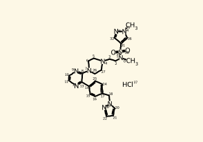 CN(CCN1CCN(c2nccnc2-c2ccc(Cn3cccn3)cc2)CC1)S(=O)(=O)c1cnn(C)c1.Cl